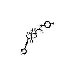 O=C(Nc1ccc(F)cc1)N[C@H]1CO[C@H]2[C@@H]1OC[C@@H]2C#Cc1ccsc1